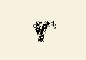 CN(C)C(=O)c1ccc(OC(C(=O)NS(=O)(=O)c2ccc(C(C)(C)C)cc2)c2ccc3nsnc3c2)cc1